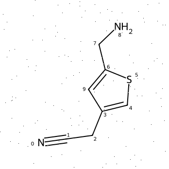 N#CCc1csc(CN)c1